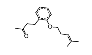 CC(=O)CCc1ccccc1OCCC=C(C)C